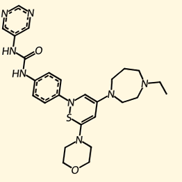 CCN1CCCN(C2=CN(c3ccc(NC(=O)Nc4cncnc4)cc3)SC(N3CCOCC3)=C2)CC1